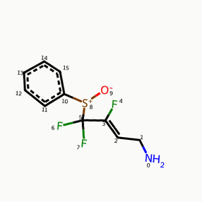 NC/C=C(\F)C(F)(F)[S+]([O-])c1ccccc1